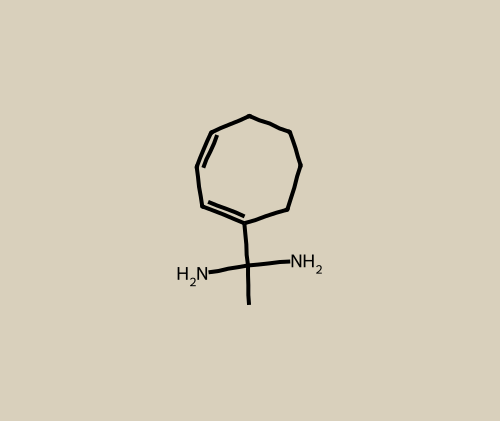 CC(N)(N)C1=CC=CCCCC1